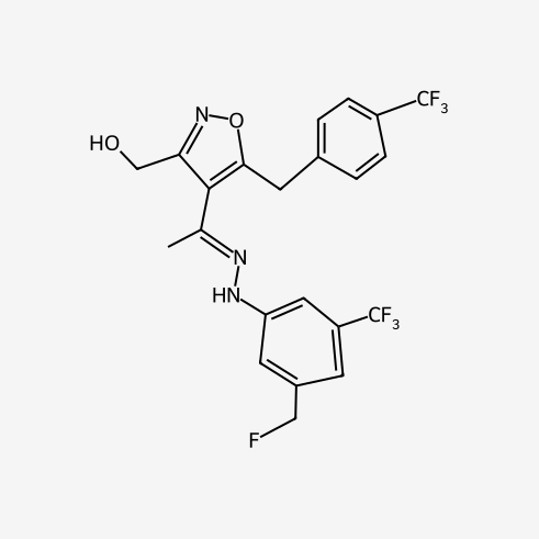 C/C(=N\Nc1cc(CF)cc(C(F)(F)F)c1)c1c(CO)noc1Cc1ccc(C(F)(F)F)cc1